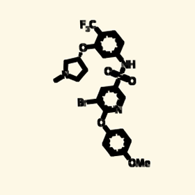 COc1ccc(Oc2ncc(S(=O)(=O)Nc3ccc(C(F)(F)F)c(O[C@@H]4CCN(C)C4)c3)cc2Br)cc1